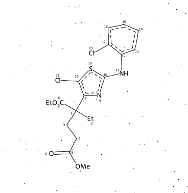 CCOC(=O)C(CC)(CCC(=O)OC)c1nc(Nc2ccccc2Cl)sc1Cl